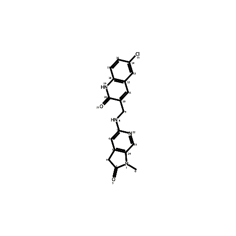 CN1C(=O)Cc2cc(NCc3cc4cc(Cl)ccc4[nH]c3=O)ncc21